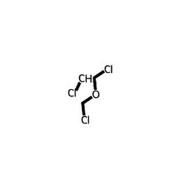 CCl.ClCOCCl